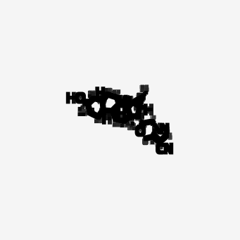 Cc1c(C#N)cnn1CC(=O)[C@H]1[C@@H]2C([C@@H]2C)[C@H]2[C@@H]3CC[C@@H]4C[C@](C)(O)CC[C@@H]4[C@H]3CC[C@]12C